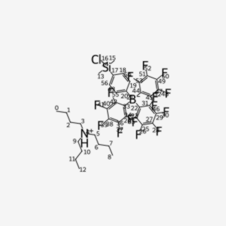 CCCC[NH+](CCCC)CCCC.C[Si](C)(Cl)c1ccc([B-](c2c(F)c(F)c(F)c(F)c2F)(c2c(F)c(F)c(F)c(F)c2F)c2c(F)c(F)c(F)c(F)c2F)cc1